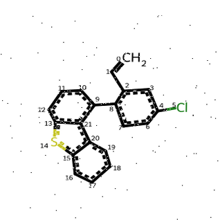 C=Cc1cc(Cl)ccc1-c1cccc2sc3ccccc3c12